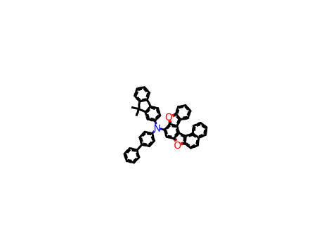 CC1(C)c2ccccc2-c2ccc(N(c3ccc(-c4ccccc4)cc3)c3cc4oc5ccc6ccccc6c5c4c4c3oc3ccccc34)cc21